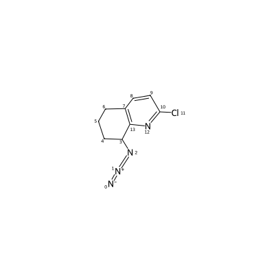 [N-]=[N+]=NC1CCCc2ccc(Cl)nc21